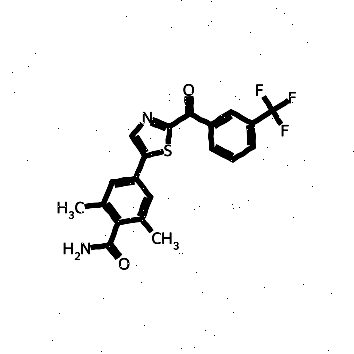 Cc1cc(-c2cnc(C(=O)c3cccc(C(F)(F)F)c3)s2)cc(C)c1C(N)=O